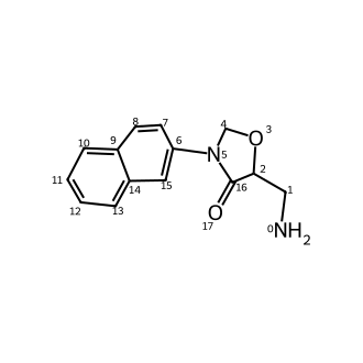 NCC1OCN(c2ccc3ccccc3c2)C1=O